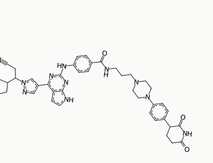 N#CCC(C1CCCC1)n1cc(-c2nc(Nc3ccc(C(=O)NCCCN4CCN(c5ccc(C6CCC(=O)NC6=O)cc5)CC4)cc3)nc3[nH]ccc23)cn1